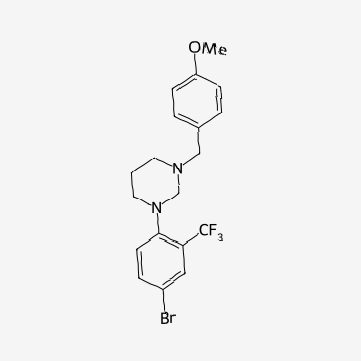 COc1ccc(CN2CCCN(c3ccc(Br)cc3C(F)(F)F)C2)cc1